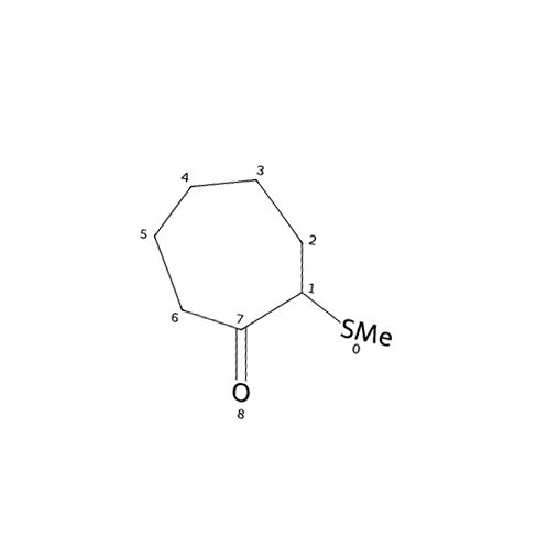 CSC1CCCCCC1=O